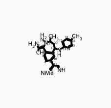 CN/C=C(\C=N)c1ccc2c(c1)C(Nc1ccc(C)cc1)CC(C)N(N)/C2=C(/C)N